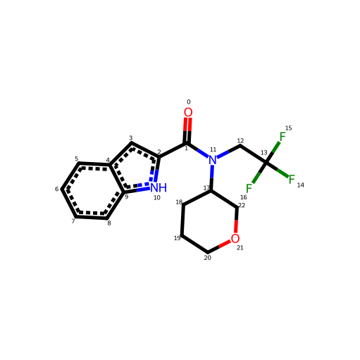 O=C(c1cc2ccccc2[nH]1)N(CC(F)(F)F)C1CCCOC1